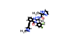 Cc1nn2cccnc2c1C(=O)N[C@H](C)c1nc2cccc(C#Cc3cnn(C)c3)c2c(=O)n1-c1ccc(F)c(F)c1